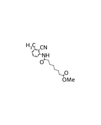 COC(=O)CCCCCCC(=O)Nc1cccc(C)c1C#N